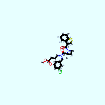 COC(=O)CCCN(Cc1cccc(Cl)c1)C(=O)[C@]1(C)CCN1C(=O)c1csc2ccccc12